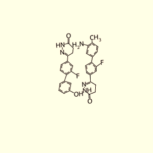 Cc1ccc(-c2ccc(C3=NNC(=O)CC3)cc2F)cc1N.O=C1CCC(c2ccc(-c3cccc(O)c3)c(F)c2)=NN1